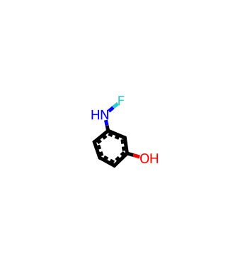 Oc1cccc(NF)c1